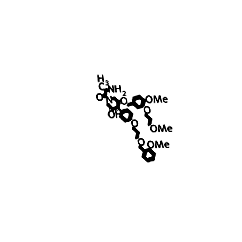 COCCCOc1cc(CO[C@H]2CN(C(=O)C(C)N)C[C@@H](O)[C@@H]2c2ccc(OCCCOCc3ccccc3OC)cc2)ccc1OC